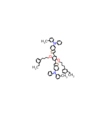 C=Cc1cccc(CCCCOc2cc(-c3cc4cc(N(c5ccccc5)c5cccc(C)c5)ccc4s3)c(OCCCCc3cccc(C=C)c3)cc2-c2cc3cc(N(c4ccccc4)c4cccc(C)c4)ccc3s2)c1